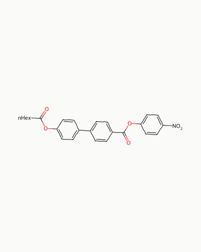 CCCCCCC(=O)Oc1ccc(-c2ccc(C(=O)Oc3ccc([N+](=O)[O-])cc3)cc2)cc1